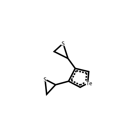 c1[te]cc(C2CS2)c1C1CS1